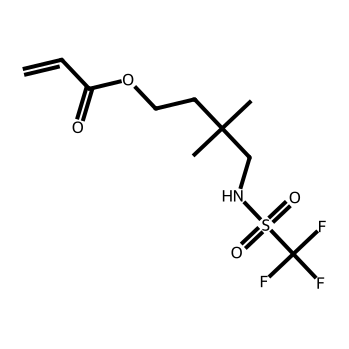 C=CC(=O)OCCC(C)(C)CNS(=O)(=O)C(F)(F)F